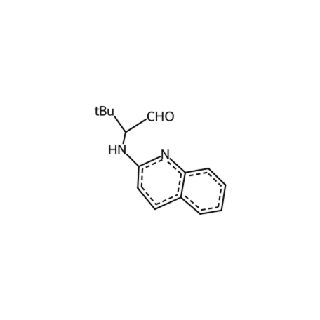 CC(C)(C)C(C=O)Nc1ccc2ccccc2n1